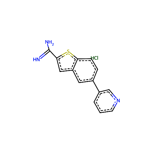 Cl.N=C(N)c1cc2cc(-c3cccnc3)ccc2s1